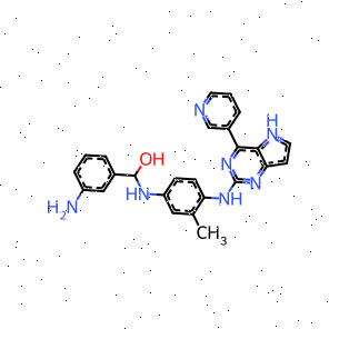 Cc1cc(NC(O)c2cccc(N)c2)ccc1Nc1nc(-c2cccnc2)c2[nH]ccc2n1